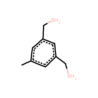 BCc1cc(C)cc(CB)c1